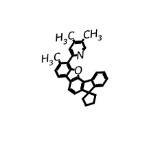 Cc1cnc(-c2c(C)ccc3c2oc2c4c(ccc23)C2(CCCC2)c2ccccc2-4)cc1C